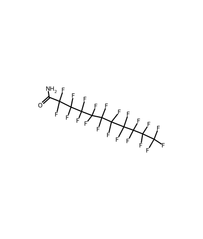 NC(=O)C(F)(F)C(F)(F)C(F)(F)C(F)(F)C(F)(F)C(F)(F)C(F)(F)C(F)(F)C(F)(F)C(F)(F)F